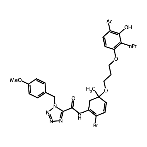 CCCc1c(OCCCOC2(C)C=CC(Br)=C(NC(=O)c3nnnn3Cc3ccc(OC)cc3)C2)ccc(C(C)=O)c1O